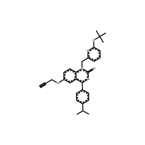 C#CCOc1ccc2c(c1)c(-c1ccc(C(C)C)cc1)nc(=O)n2Cc1cccc(OC(C)(C)C)n1